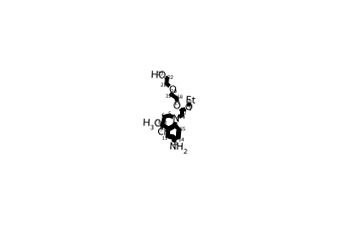 CCOC(CN1CCC(C)(C)c2cc(N)ccc21)OCCOCCO